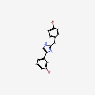 Brc1ccc(Cc2nc(-c3cccc(Br)c3)c[nH]2)cc1